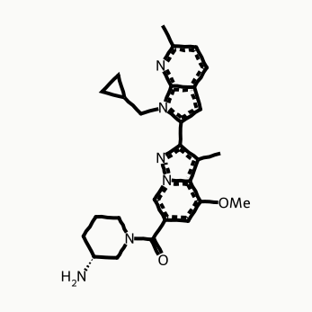 COc1cc(C(=O)N2CCC[C@@H](N)C2)cn2nc(-c3cc4ccc(C)nc4n3CC3CC3)c(C)c12